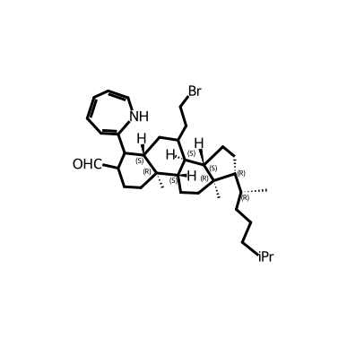 CC(C)CCC[C@@H](C)[C@H]1CC[C@H]2[C@@H]3C(CCBr)C[C@H]4C(C5=CC=CC=CN5)C(C=O)CC[C@]4(C)[C@H]3CC[C@]12C